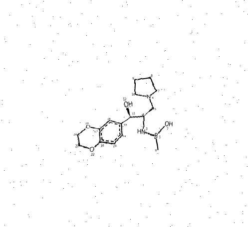 CB(O)N[C@H](CN1CCCC1)[C@H](O)c1ccc2c(c1)OCCO2